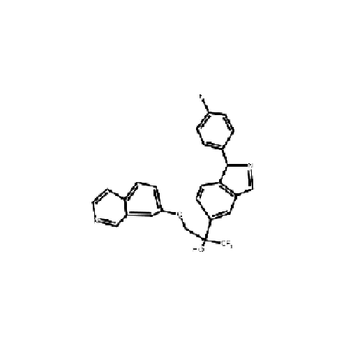 OC(COc1ccc2ccncc2c1)(c1ccc2c(c1)C=NC2c1ccc(F)cc1)C(F)(F)F